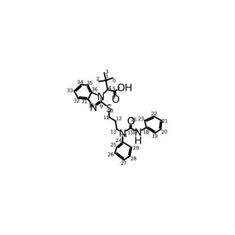 CC(C)(C)C(C(=O)O)n1c(SCCCN(C(=O)Nc2ccccc2)c2ccccc2)nc2ccccc21